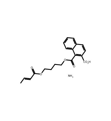 CC=CC(=O)OCCCCOC(=O)c1c(C(=O)O)ccc2ccccc12.N